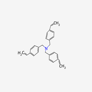 C=Cc1ccc(CN(Cc2ccc(C=C)cc2)Cc2ccc(C=C)cc2)cc1